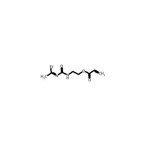 C=CC(=O)OCCNC(=O)/N=C(/C)CC